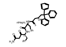 CCCCCCC[C@@](CC(C)C)(NC(=S)CC(O)CC(c1ccccc1)(c1ccccc1)c1ccccc1)C(=O)N[C@@H](CC(C)C)C(=O)CC(N)=O